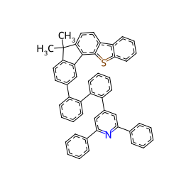 CC1(C)c2ccc(-c3ccccc3-c3ccccc3-c3cc(-c4ccccc4)nc(-c4ccccc4)c3)cc2-c2c1ccc1c2sc2ccccc21